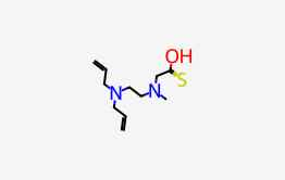 C=CCN(CC=C)CCN(C)CC(O)=S